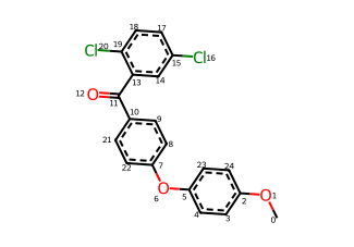 COc1ccc(Oc2ccc(C(=O)c3cc(Cl)ccc3Cl)cc2)cc1